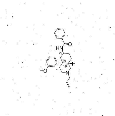 C=CCN1CC[C@@]2(c3cccc(OC)c3)C[C@@H](NC(=O)c3ccccc3)CC[C@@H]2C1